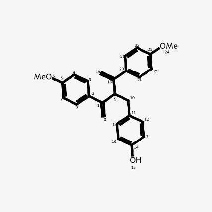 C=C(c1ccc(OC)cc1)C(Cc1ccc(O)cc1)C(=C)c1ccc(OC)cc1